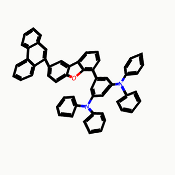 c1ccc(N(c2ccccc2)c2cc(-c3cccc4c3oc3ccc(-c5cc6ccccc6c6ccccc56)cc34)cc(N(c3ccccc3)c3ccccc3)c2)cc1